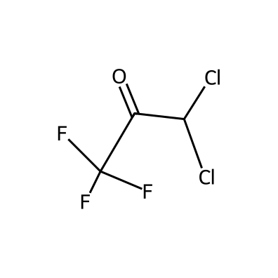 O=C(C(Cl)Cl)C(F)(F)F